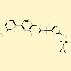 CC(C)(C(=O)Nc1ncc(-c2cncc(C#N)n2)cc1F)c1csc(NS(=O)(=O)C2CC2)n1